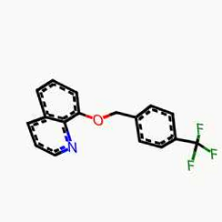 FC(F)(F)c1ccc(COc2cccc3cccnc23)cc1